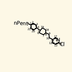 CCCCCc1ccc(C2CCC(CCc3ccc(Cl)nc3)CC2)cc1